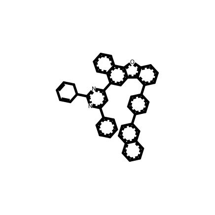 C1=CCC(c2nc(-c3ccccc3)cc(-c3cc4c(oc5cccc(-c6ccc(-c7ccc8ccccc8c7)cc6)c54)c4ccccc34)n2)C=C1